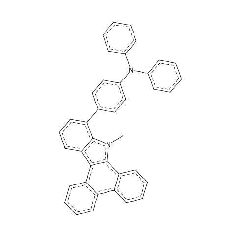 Cn1c2c(-c3ccc(N(c4ccccc4)c4ccccc4)cc3)cccc2c2c3ccccc3c3ccccc3c21